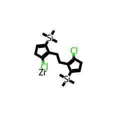 C[Si](C)(C)C1=CCC(Cl)=C1CCC1=C(Cl)CC=C1[Si](C)(C)C.[Zr]